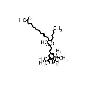 CCCCCC(OC(=O)CCc1cc(C(C)(C)C)c(O)c(C(C)(C)C)c1)C(O)CC=CCCCCCCCC(=O)O